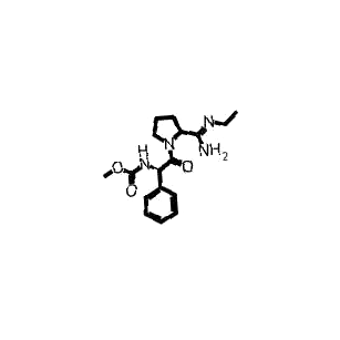 CC/N=C(\N)C1CCCN1C(=O)[C@H](NC(=O)OC)c1ccccc1